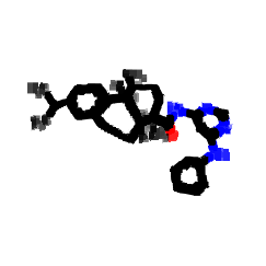 CC(C)c1ccc2c(c1)CC[C@@H]1[C@@H]2[C@@H](C)CC[C@@]1(C)C(=O)Nc1cc(Nc2ccccc2)ncn1